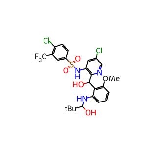 COc1cccc(NC(O)C(C)(C)C)c1C(O)c1ncc(Cl)cc1NS(=O)(=O)c1ccc(Cl)c(C(F)(F)F)c1